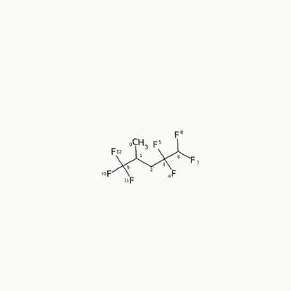 CC([CH]C(F)(F)C(F)F)C(F)(F)F